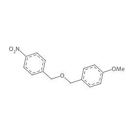 COc1ccc(COCc2ccc([N+](=O)[O-])cc2)cc1